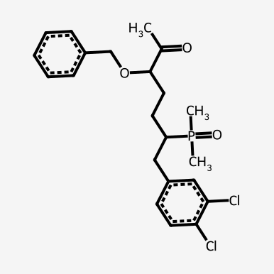 CC(=O)C(CCC(Cc1ccc(Cl)c(Cl)c1)P(C)(C)=O)OCc1ccccc1